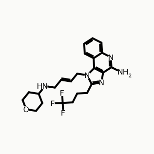 Nc1nc2ccccc2c2c1nc(CCCC(F)(F)F)n2C/C=C/CNC1CCOCC1